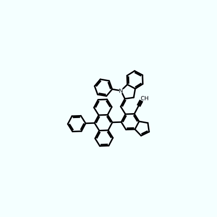 C#Cc1c(/C=C2\Cc3ccccc3N2c2ccccc2)c(-c2c3ccccc3c(-c3ccccc3)c3ccccc23)cc2c1CC=C2